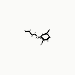 [CH2]c1ccc(I)c(OCCCC)c1